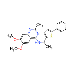 COc1cc2nc(C)nc(NC(C)c3ccc(-c4ccccc4)s3)c2cc1OC